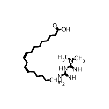 CCCCC/C=C\C/C=C\CCCCCCCC(=O)O.CN(C)C(=N)NC(=N)N